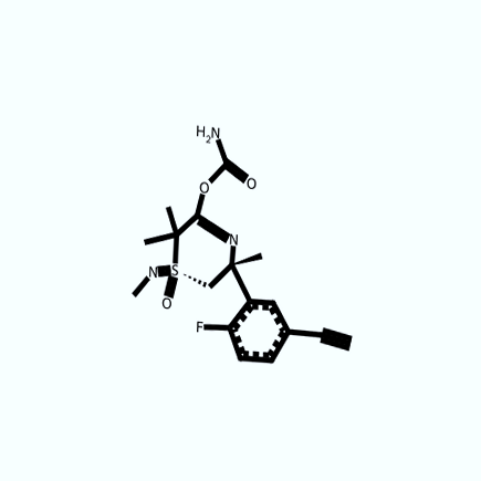 C#Cc1ccc(F)c([C@]2(C)C[S@](=O)(=NC)C(C)(C)C(OC(N)=O)=N2)c1